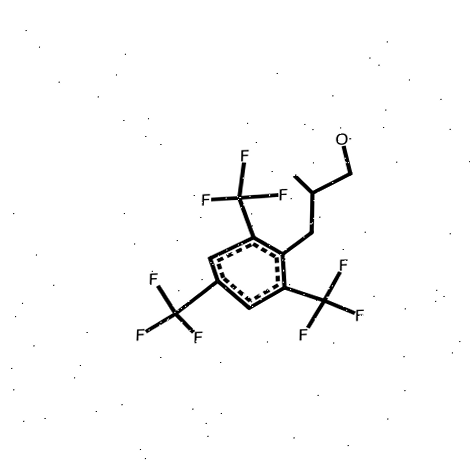 CC(C[O])Cc1c(C(F)(F)F)cc(C(F)(F)F)cc1C(F)(F)F